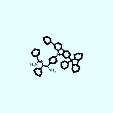 N/C(=N\C(c1ccccc1)[C@@H](N)c1ccc(N2c3cc(C4(c5ccccc5)c5ccccc5-c5ccccc54)ccc3C3C=CC(c4ccccc4)=CC32)cc1)c1ccccc1